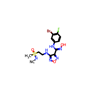 CS(=O)(CCNc1nonc1/C(=N/O)Nc1ccc(F)c(Br)c1)=NC#N